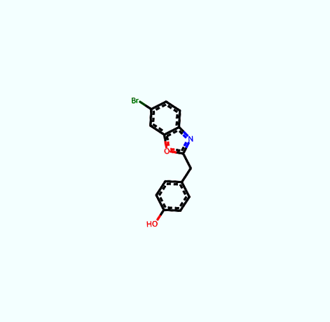 Oc1ccc(Cc2nc3ccc(Br)cc3o2)cc1